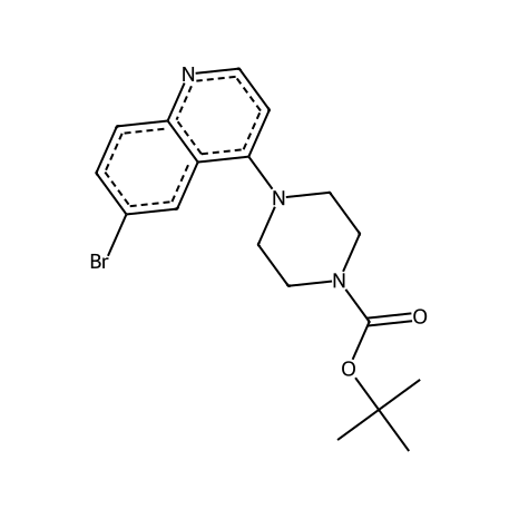 CC(C)(C)OC(=O)N1CCN(c2ccnc3ccc(Br)cc23)CC1